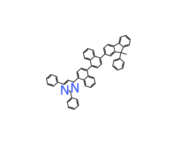 CC1(c2ccccc2)c2ccccc2-c2ccc(-c3ccc(-c4ccc(-c5cc(-c6ccccc6)nc(-c6ccccc6)n5)c5ccccc45)c4ccccc34)cc21